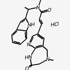 CC(c1cc2ccccc2[nH]1)N(C)C(=O)/C=C/c1cnc2c(c1)CN(C)CC(=O)N2.Cl